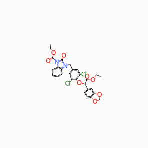 CCOC(=O)C(Oc1c(Cl)cc(Cn2c(=O)n(C(=O)OCC)c3ccccc32)cc1Cl)c1ccc2c(c1)OCO2